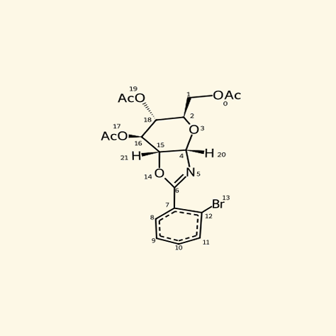 CC(=O)OC[C@H]1O[C@@H]2N=C(c3ccccc3Br)O[C@@H]2[C@@H](OC(C)=O)[C@@H]1OC(C)=O